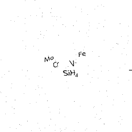 [Cr].[Fe].[Mo].[SiH4].[V]